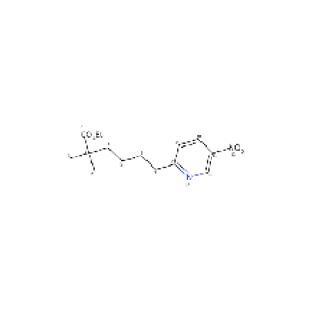 CCOC(=O)C(C)(C)CCCCc1ccc([N+](=O)[O-])cn1